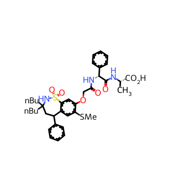 CCCCC1(CCCC)CC(c2ccccc2)c2cc(SC)c(OCC(=O)N[C@@H](C(=O)N[C@@H](C)C(=O)O)c3ccccc3)cc2S(=O)(=O)N1